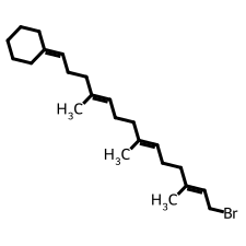 C/C(=C\CC/C(C)=C/CC/C(C)=C/CBr)CCC=C1CCCCC1